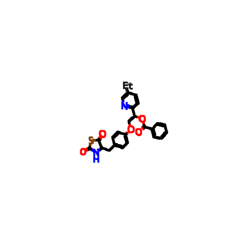 CCc1ccc(C(COc2ccc(CC3NC(=O)SC3=O)cc2)OC(=O)c2ccccc2)nc1